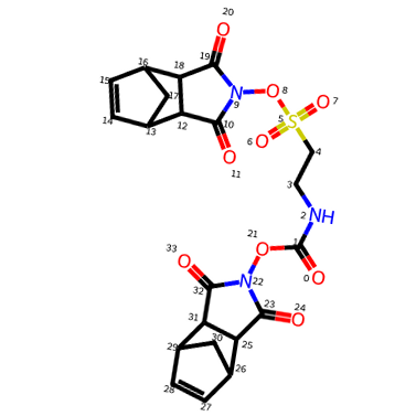 O=C(NCCS(=O)(=O)ON1C(=O)C2C3C=CC(C3)C2C1=O)ON1C(=O)C2C3C=CC(C3)C2C1=O